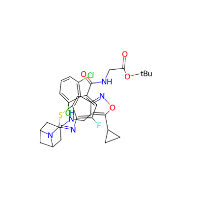 CC(C)(C)OC(=O)CNC(=O)c1cc(F)c2nc(N3C4CC(NCc5c(-c6c(Cl)cccc6Cl)noc5C5CC5)CC3C4)sc2c1